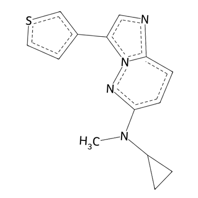 CN(c1ccc2ncc(-c3ccsc3)n2n1)C1CC1